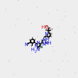 Cc1c(C#N)cccc1-c1nc(N)c(F)c(/C(=C/NCc2cccc(C(C)(C)CO)n2)N=N)n1